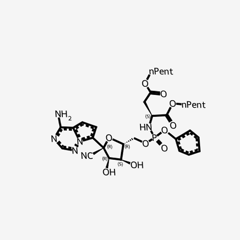 CCCCCOC(=O)C[C@H](NP(=O)(OC[C@H]1O[C@@](C#N)(c2ccc3c(N)ncnn23)[C@H](O)[C@@H]1O)Oc1ccccc1)C(=O)OCCCCC